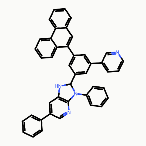 c1ccc(-c2cnc3c(c2)NC(c2cc(-c4cccnc4)cc(-c4cc5ccccc5c5ccccc45)c2)N3c2ccccc2)cc1